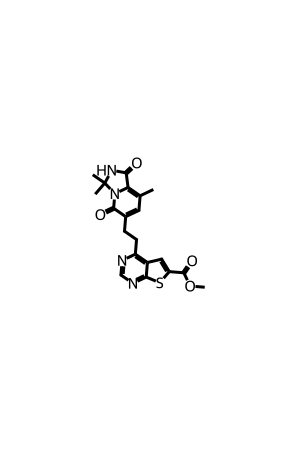 COC(=O)c1cc2c(CCc3cc(C)c4n(c3=O)C(C)(C)NC4=O)ncnc2s1